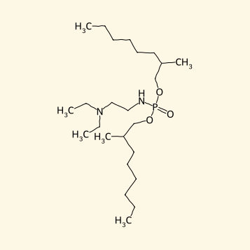 CCCCCCC(C)COP(=O)(NCCN(CC)CC)OCC(C)CCCCCC